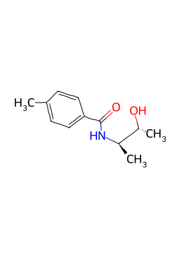 Cc1ccc(C(=O)N[C@H](C)[C@@H](C)O)cc1